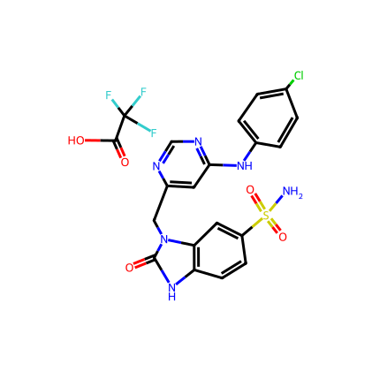 NS(=O)(=O)c1ccc2[nH]c(=O)n(Cc3cc(Nc4ccc(Cl)cc4)ncn3)c2c1.O=C(O)C(F)(F)F